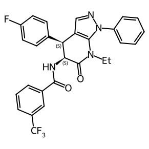 CCN1C(=O)[C@@H](NC(=O)c2cccc(C(F)(F)F)c2)[C@@H](c2ccc(F)cc2)c2cnn(-c3ccccc3)c21